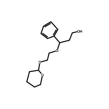 OCCC(OCCOC1CCCCO1)c1ccccc1